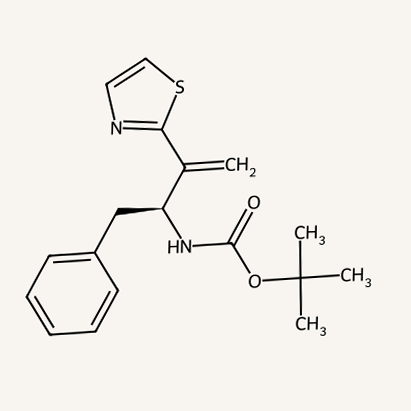 C=C(c1nccs1)[C@H](Cc1ccccc1)NC(=O)OC(C)(C)C